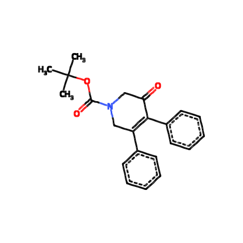 CC(C)(C)OC(=O)N1CC(=O)C(c2ccccc2)=C(c2ccccc2)C1